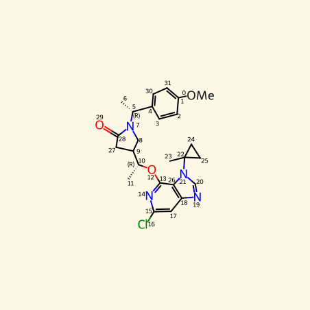 COc1ccc([C@@H](C)N2CC([C@@H](C)Oc3nc(Cl)cc4ncn(C5(C)CC5)c34)CC2=O)cc1